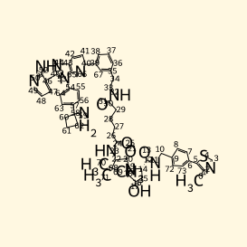 Cc1ncsc1-c1ccc(CNC(=O)[C@@H]2C[C@@H](O)CN2C(=O)[C@@H](NC(=O)CCCCC(=O)NCCc2cccc(-c3ccc4nc(-c5cccnc5N)n(-c5ccc(C6(N)CCC6)cc5)c4n3)c2)C(C)(C)C)cc1